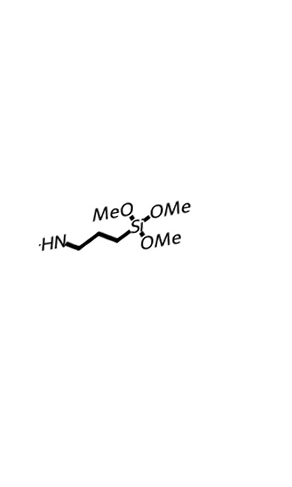 CO[Si](CCC[NH])(OC)OC